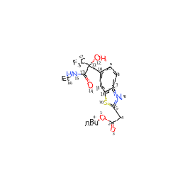 CCCCOC(=O)Cc1nc2ccc(C(O)(C(=O)NCC)C(F)(F)F)cc2s1